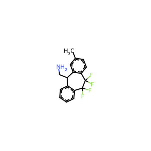 Cc1ccc2c(c1)C(CN)c1ccccc1C(F)(F)C2(F)F